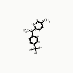 Cc1ccc(C(C)c2ccc(C(I)(I)I)cc2)nc1